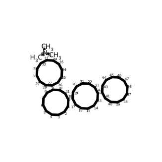 C1CCCCCCCCCCC1.C1CCCCCCCCCCC1.C1CCCCCCCCCCC1.C1CCCCCCCCCCC1.CN(C)C